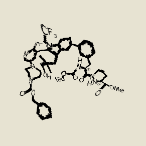 COC(=O)[C@@H]1CCCN(C(=O)[C@H](Cc2cccc(-c3ccc4c(c3)c(CC(C)(C)CO)c(-c3cc(N5CCN(C(=O)OCc6ccccc6)CC5)cnc3C(C)C)n4CC(F)(F)F)c2)NC(=O)OC(C)(C)C)N1